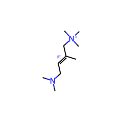 C/C(=C\CN(C)C)C[N+](C)(C)C